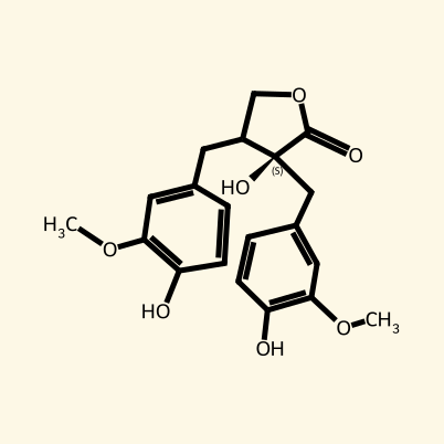 COc1cc(CC2COC(=O)[C@]2(O)Cc2ccc(O)c(OC)c2)ccc1O